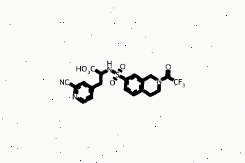 N#Cc1cc(CC(NS(=O)(=O)c2ccc3c(c2)CN(C(=O)C(F)(F)F)CC3)C(=O)O)ccn1